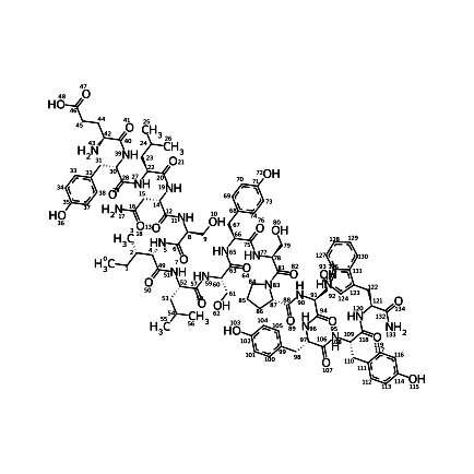 CC[C@H](C)[C@H](NC(=O)[C@H](CO)NC(=O)[C@H](CC(N)=O)NC(=O)[C@H](CC(C)C)NC(=O)[C@H](Cc1ccc(O)cc1)NC(=O)[C@@H](N)CCC(=O)O)C(=O)N[C@@H](CC(C)C)C(=O)N[C@@H](CO)C(=O)N[C@@H](Cc1ccc(O)cc1)C(=O)N[C@@H](CO)C(=O)N1CCC[C@H]1C(=O)N[C@@H](CO)C(=O)N[C@@H](Cc1ccc(O)cc1)C(=O)N[C@@H](Cc1ccc(O)cc1)C(=O)N[C@@H](Cc1c[nH]c2ccccc12)C(N)=O